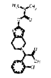 CN(C)C(=O)Oc1cc2c(s1)CCN(C(C(=O)O)c1ccccc1Cl)C2